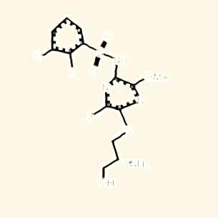 COc1nc(SC[C@H](N)CO)c(Cl)nc1NS(=O)(=O)c1cccc(Cl)c1Cl